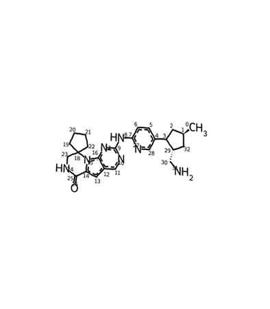 C[C@@H]1CC(c2ccc(Nc3ncc4cc5n(c4n3)C3(CCCC3)CNC5=O)nc2)[C@@H](CN)C1